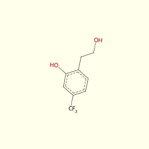 OCCc1ccc(C(F)(F)F)cc1O